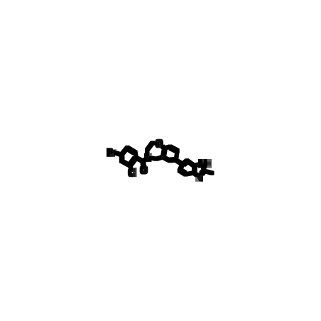 Cc1nc2ccc(-c3ccc4c(c3)CN(C(=O)c3ccc(Br)cc3Cl)CCO4)cc2[nH]1